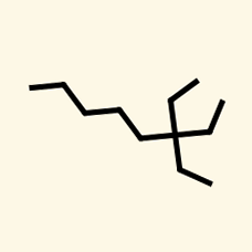 CCCCCC(CC)(CC)CC